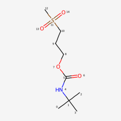 CC(C)(C)NC(=O)OCCCS(C)(=O)=O